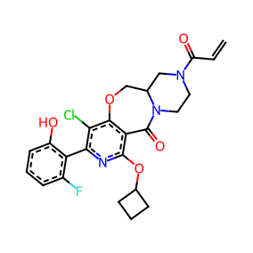 C=CC(=O)N1CCN2C(=O)c3c(OC4CCC4)nc(-c4c(O)cccc4F)c(Cl)c3OCC2C1